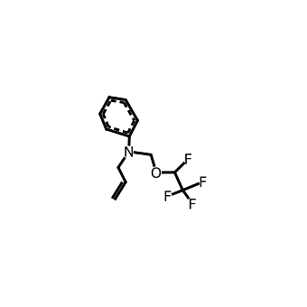 C=CCN(COC(F)C(F)(F)F)c1ccccc1